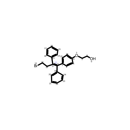 OCCOc1ccc(/C(=C(/CCBr)c2ccccc2)c2ccccc2)cc1